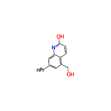 CCCc1cc(CO)c2ccc(O)nc2c1